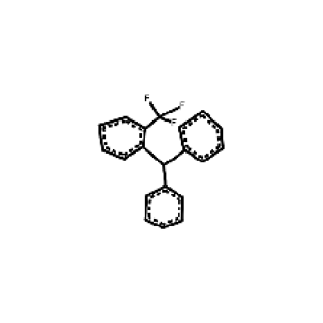 FC(F)(F)c1ccccc1C(c1ccccc1)c1ccccc1